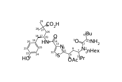 CCCCCCN(C(=O)C(N)C(C)CC)C(CC(OC(C)=O)c1nc(C(=O)N[C@@H](Cc2ccc(O)cc2)CC(C)(C)C(=O)O)cs1)C(C)C